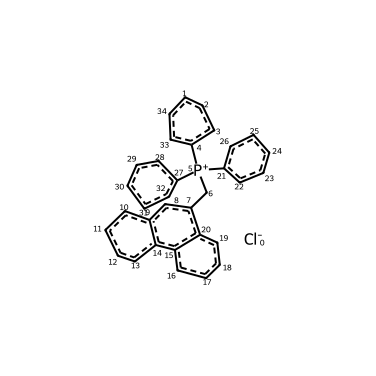 [Cl-].c1ccc([P+](Cc2cc3ccccc3c3ccccc23)(c2ccccc2)c2ccccc2)cc1